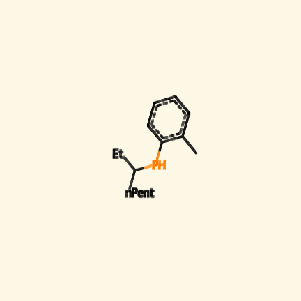 CCCCCC(CC)Pc1ccccc1C